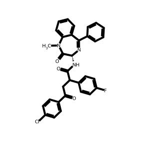 CN1C(=O)[C@@H](NC(=O)C(CC(=O)c2ccc(Cl)cc2)c2ccc(F)cc2)N=C(c2ccccc2)c2ccccc21